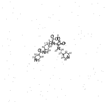 COC(=O)[C@H](Cc1ccc(NC(=O)c2ccncc2)cc1)Nc1c(N(C)CCc2ccncc2)c(=O)c1=O